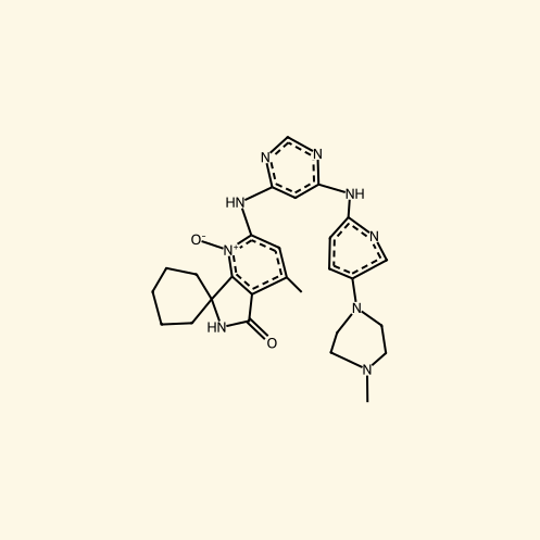 Cc1cc(Nc2cc(Nc3ccc(N4CCN(C)CC4)cn3)ncn2)[n+]([O-])c2c1C(=O)NC21CCCCC1